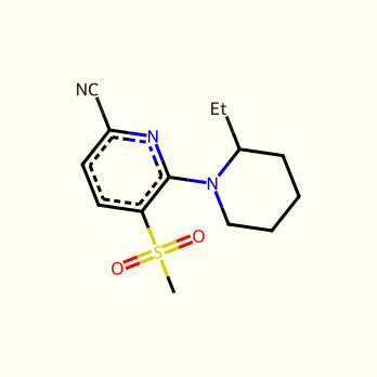 CCC1CCCCN1c1nc(C#N)ccc1S(C)(=O)=O